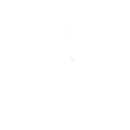 O=C1CCCN(C2CCCCCCCCC2)C1